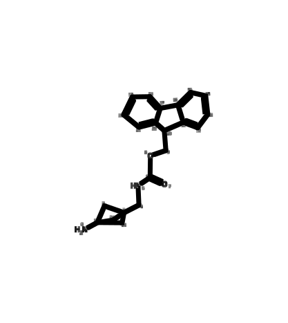 NC12CC(CNC(=O)OCC3c4ccccc4-c4ccccc43)(C1)C2